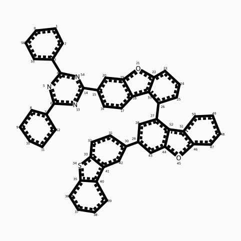 c1ccc(-c2nc(-c3ccccc3)nc(-c3ccc4c(c3)oc3cccc(-c5cc(-c6ccc7sc8ccccc8c7c6)cc6oc7ccccc7c56)c34)n2)cc1